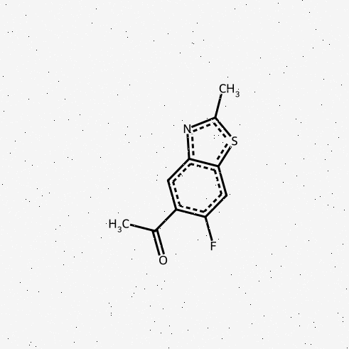 CC(=O)c1cc2nc(C)sc2cc1F